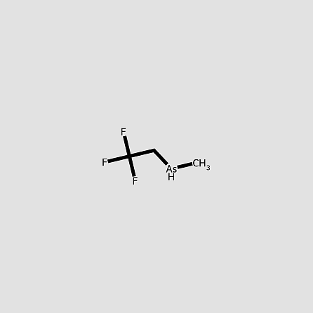 C[AsH]CC(F)(F)F